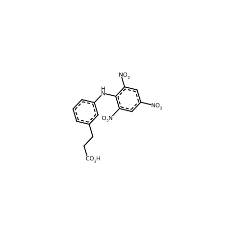 O=C(O)CCc1cccc(Nc2c([N+](=O)[O-])cc([N+](=O)[O-])cc2[N+](=O)[O-])c1